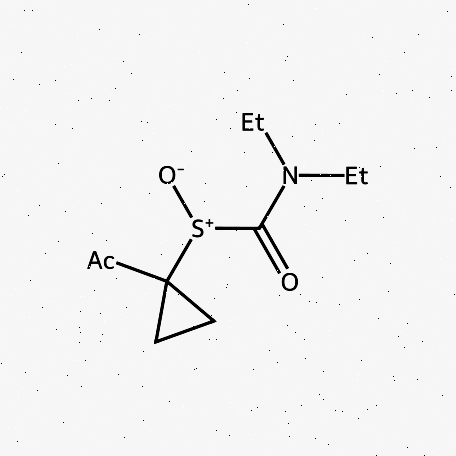 CCN(CC)C(=O)[S+]([O-])C1(C(C)=O)CC1